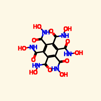 O=C(NO)c1c(C(=O)NO)c(C(=O)NO)c(C(=O)NO)c(C(=O)NO)c1C(=O)NO